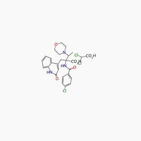 CC(N1CCOCC1)C(Cc1cc(=O)[nH]c2ccccc12)(NC(=O)c1ccc(Cl)cc1)C(=O)O.O=C(O)C(Cl)Cl